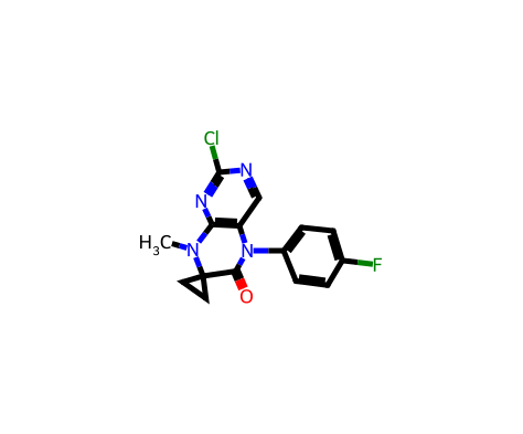 CN1c2nc(Cl)ncc2N(c2ccc(F)cc2)C(=O)C12CC2